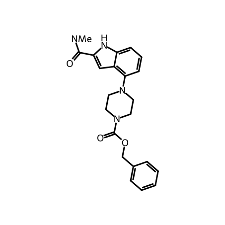 CNC(=O)c1cc2c(N3CCN(C(=O)OCc4ccccc4)CC3)cccc2[nH]1